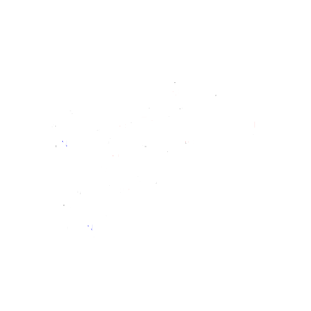 O=C(Oc1ccc(-c2oc3cc(O)cc(O)c3c(=O)c2O)cc1OC(=O)c1cccnc1)c1cccnc1